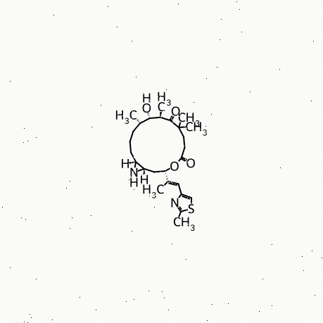 C/C(=C\c1csc(C)n1)[C@@H]1C[C@@H]2N[C@@H]2CCC[C@H](C)[C@H](O)[C@@H](C)C(=O)C(C)(C)CCC(=O)O1